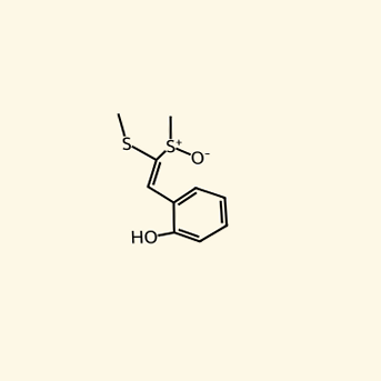 CSC(=Cc1ccccc1O)[S+](C)[O-]